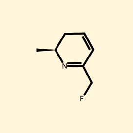 C[C@H]1CC=CC(CF)=N1